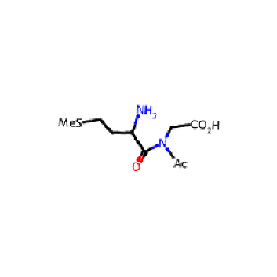 CSCCC(N)C(=O)N(CC(=O)O)C(C)=O